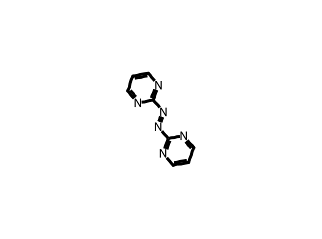 c1cnc(/N=N/c2ncccn2)nc1